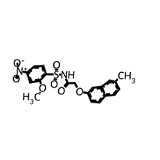 COc1cc([N+](=O)[O-])ccc1S(=O)(=O)NC(=O)COc1ccc2ccc(C)cc2c1